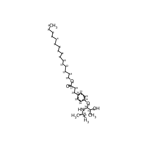 CCCCCCCCCCCCCCCCOC(=O)CCc1ccc(OC(NC(C)C)C(C)O)cc1